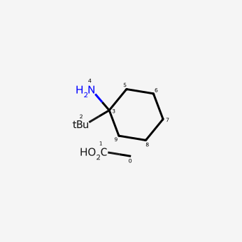 CC(=O)O.CC(C)(C)C1(N)CCCCC1